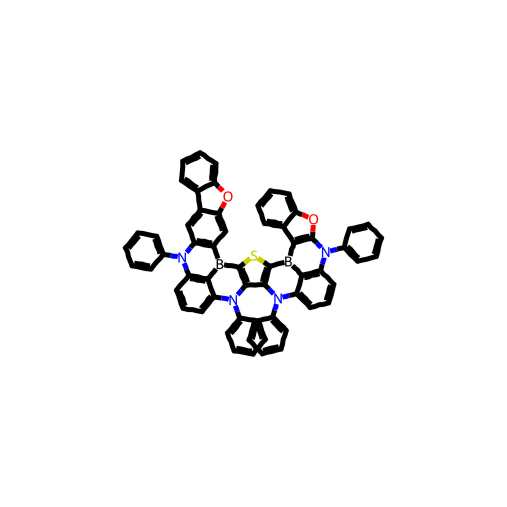 c1ccc(N2c3cc4c(cc3B3c5sc6c(c5N(c5ccccc5)c5cccc2c53)N(c2ccccc2)c2cccc3c2B6c2c(oc5ccccc25)N3c2ccccc2)oc2ccccc24)cc1